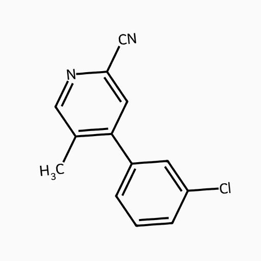 Cc1cnc(C#N)cc1-c1cccc(Cl)c1